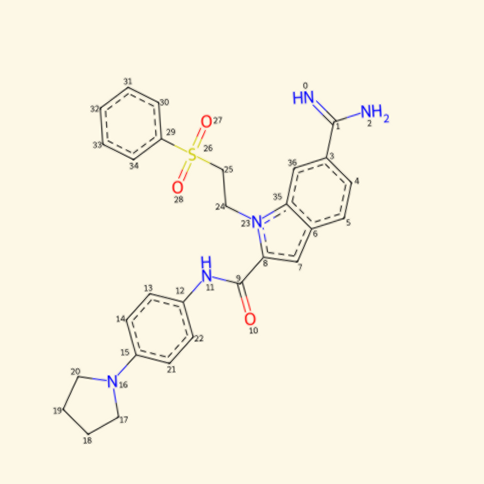 N=C(N)c1ccc2cc(C(=O)Nc3ccc(N4CCCC4)cc3)n(CCS(=O)(=O)c3ccccc3)c2c1